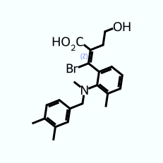 Cc1ccc(CN(C)c2c(C)cccc2/C(Br)=C(\CCO)C(=O)O)cc1C